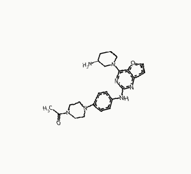 CC(=O)N1CCN(c2ccc(Nc3nc(N4CCCC(N)C4)c4occc4n3)cc2)CC1